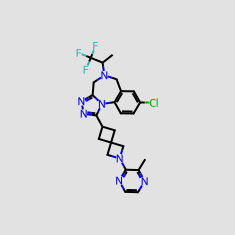 Cc1nccnc1N1CC2(CC(c3nnc4n3-c3ccc(Cl)cc3CN(C(C)C(F)(F)F)C4)C2)C1